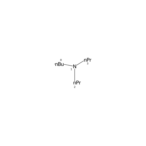 CCC[CH]N(CCC)CCC